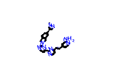 Cn1cc(-c2ccc3c(c2)CN(c2nccc(-c4nccc(/C=C/c5ccnc(N)c5)n4)n2)C3)cn1